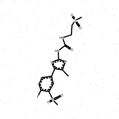 Cc1nc(NC(=O)NCCS(C)(=O)=O)sc1-c1ccc(F)c(S(C)(=O)=O)c1